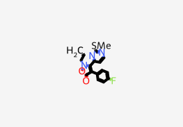 C=CCn1oc(=O)c(-c2ccc(F)cc2)c1-c1ccnc(SC)n1